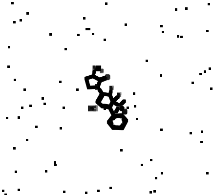 CP(C)(=O)C1(F)C(c2ccccc2)=CC=C(N2CC[C@@H](N)C2=O)C1F.Cl